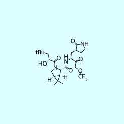 CC(C)(C)C[C@@H](O)C(=O)N1C[C@H]2[C@@H]([C@H]1C(=O)N[C@@H](C[C@@H]1CCNC1=O)C(=O)COC(F)(F)F)C2(C)C